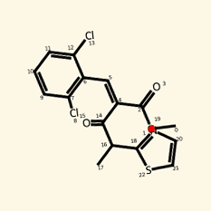 COC(=O)/C(=C/c1c(Cl)cccc1Cl)C(=O)C(C)c1nccs1